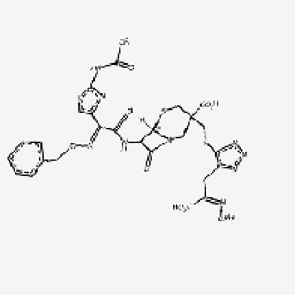 CON=C(Cn1nnnc1SCC1(C(=O)O)CS[C@@H]2C(NC(=O)C(=NOCc3ccccc3)c3csc(NC(=O)C(F)(F)F)n3)C(=O)N2C1)C(=O)O